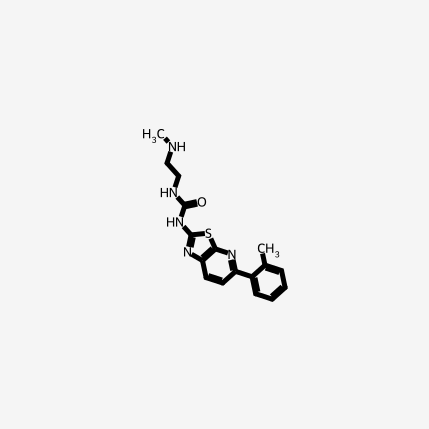 CNCCNC(=O)Nc1nc2ccc(-c3ccccc3C)nc2s1